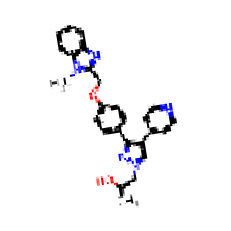 CC(O)Cn1cc(-c2ccncc2)c(-c2ccc(OCc3nc4ccccc4n3C)cc2)n1